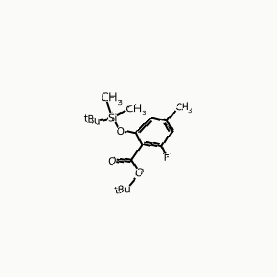 Cc1cc(F)c(C(=O)OC(C)(C)C)c(O[Si](C)(C)C(C)(C)C)c1